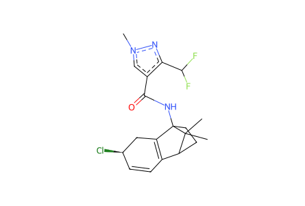 Cn1cc(C(=O)NC23CCC(C4=C2C[C@H](Cl)C=C4)C3(C)C)c(C(F)F)n1